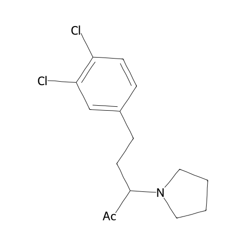 CC(=O)C(CCc1ccc(Cl)c(Cl)c1)N1CCCC1